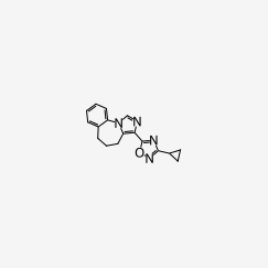 c1ccc2c(c1)CCCc1c(-c3nc(C4CC4)no3)ncn1-2